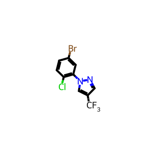 FC(F)(F)c1cnn(-c2cc(Br)ccc2Cl)c1